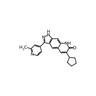 Cc1cc(-c2n[nH]c3cc4[nH]c(=O)c(C5CCCC5)cc4cc23)ccn1